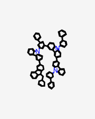 C1=CC(n2c3ccccc3c3cc(-c4ccc5c(c4)c4cc(-c6cc(-c7ccccc7)cc(-n7c8ccccc8c8cc(C9=CC%10=C(CC9)C(CC9CC=CCC9)c9ccccc9%10)ccc87)c6)ccc4n5-c4cccc(-c5ccccc5)c4)ccc32)CC(c2ccccc2)=C1